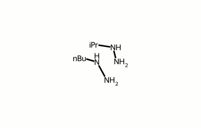 CC(C)NN.CCCCNN